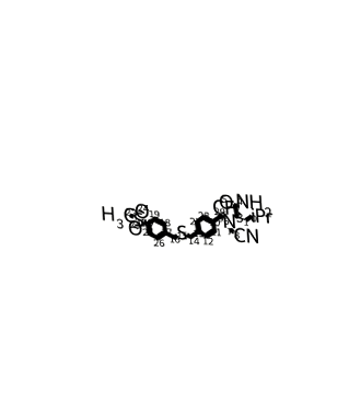 CC(C)C[C@@H](C(N)=O)N(CC#N)[C@@H](c1ccc(CSCc2ccc(S(C)(=O)=O)cc2)cc1)C(F)(F)F